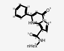 CCCCCCNC(=O)c1cnn2c(=O)cc(-c3ccccc3)[nH]c12